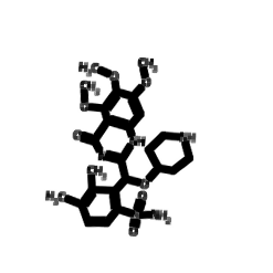 COc1cc2[nH]c(C(OC3CCNCC3)c3c(S(N)(=O)=O)ccc(C)c3C)nc(=O)c2c(OC)c1OC